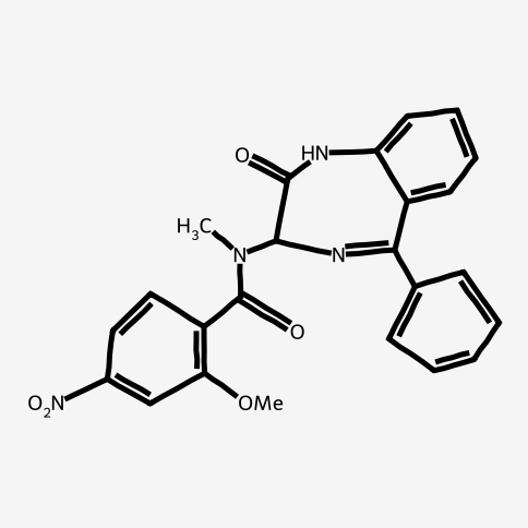 COc1cc([N+](=O)[O-])ccc1C(=O)N(C)C1N=C(c2ccccc2)c2ccccc2NC1=O